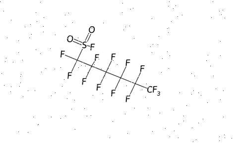 O=S(=O)(F)C(F)(F)C(F)(F)C(F)(F)C(F)(F)C(F)(F)C(F)(F)F